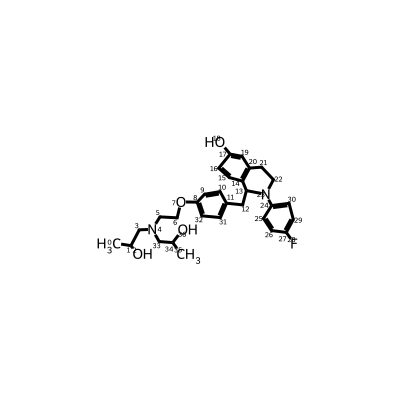 CC(O)CN(CCOc1ccc(CC2c3ccc(O)cc3CCN2c2ccc(F)cc2)cc1)CC(C)O